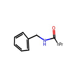 CCCC(=O)N[CH]c1ccccc1